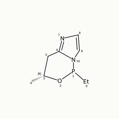 CCP1O[C@H](C)Cc2nccn21